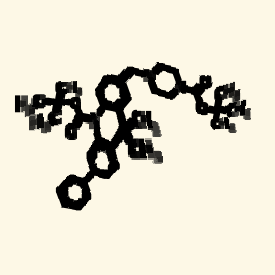 CC(C)(C)OC(=O)N1CCN(Cc2ccc3c(c2)C(C)(C)c2ccc(-c4ccccc4)cc2N3C(=O)OC(C)(C)C)CC1